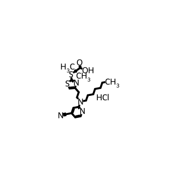 CCCCCCCN(CCc1csc(SC(C)(C)C(=O)O)n1)c1cc(C#N)ccn1.Cl